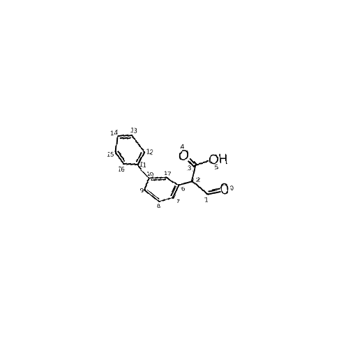 O=CC(C(=O)O)c1cccc(-c2ccccc2)c1